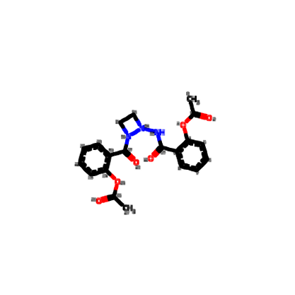 CC(=O)Oc1ccccc1C(=O)NN1CCN1C(=O)c1ccccc1OC(C)=O